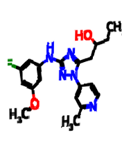 CCC(O)Cc1nc(Nc2cc(F)cc(OC)c2)nn1-c1ccnc(C)c1